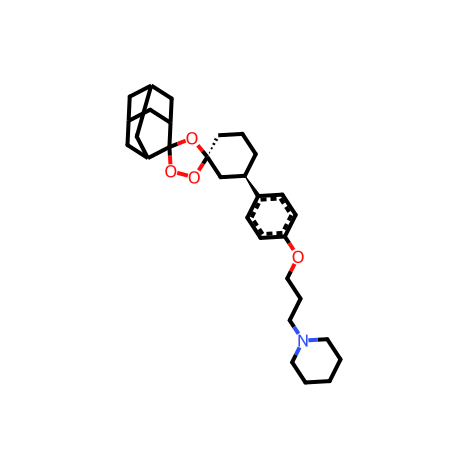 c1cc([C@@H]2CCC[C@]3(C2)OOC2(O3)C3CC4CC(C3)CC2C4)ccc1OCCCN1CCCCC1